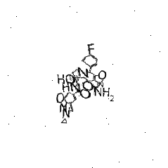 CC[C@](O)(CNC(=O)c1cc(OC)c2nn(C3CC3)cc2c1)c1cc2c(c(-c3ccc(F)cc3)n1)OC[C@]2(C)C(N)=O